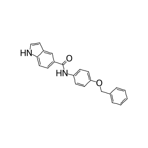 O=C(Nc1ccc(OCc2ccccc2)cc1)c1ccc2[nH]ccc2c1